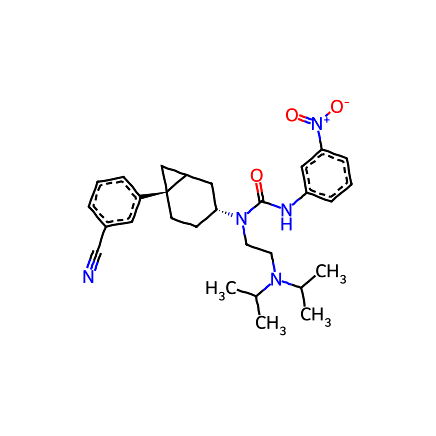 CC(C)N(CCN(C(=O)Nc1cccc([N+](=O)[O-])c1)[C@@H]1CC[C@]2(c3cccc(C#N)c3)CC2C1)C(C)C